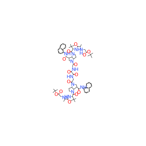 CC(NCC(=O)OC(C)(C)C)C(=O)NC(C(=O)N1CCC2C1C(C(=O)Nc1cccc3ccccc13)CN2C(=O)CNC(=O)C(=O)NCC(=O)N1CC(C(=O)Nc2cccc3ccccc23)C2C1CCN2C(=O)C(NC(=O)C(C)NCC(=O)OC(C)(C)C)C(C)(C)C)C(C)(C)C